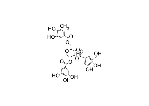 Cc1cc(C(=O)OCC2OCC(OC(=O)c3cc(O)c(O)c(O)c3)C(OC(=O)c3cc(O)c(O)c(CO)c3)C2O)cc(O)c1O